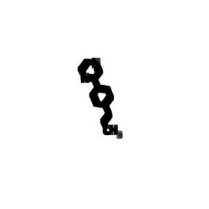 C/C=C/c1ccc(-c2cnccn2)cc1